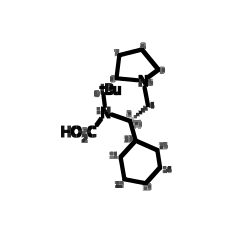 CC(C)(C)N(C(=O)O)[C@H](CN1CCCC1)C1CCCCC1